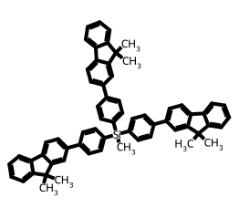 CC1(C)c2ccccc2-c2ccc(-c3ccc([Si](C)(c4ccc(-c5ccc6c(c5)C(C)(C)c5ccccc5-6)cc4)c4ccc(-c5ccc6c(c5)C(C)(C)c5ccccc5-6)cc4)cc3)cc21